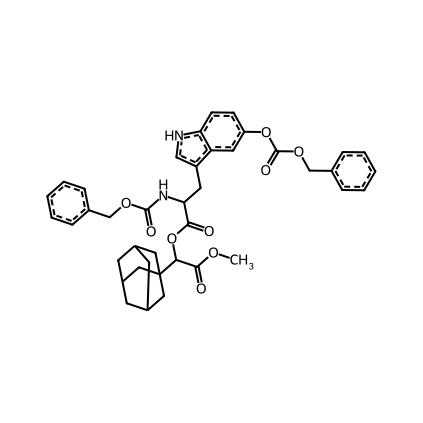 COC(=O)C(OC(=O)C(Cc1c[nH]c2ccc(OC(=O)OCc3ccccc3)cc12)NC(=O)OCc1ccccc1)C12CC3CC(CC(C3)C1)C2